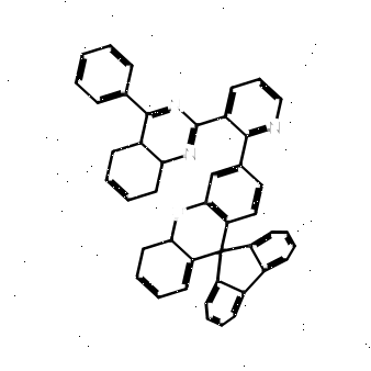 C1=CCC2Oc3cc(-c4ncccc4C4=NC5CC=CCC5C(c5ccccc5)=N4)ccc3C3(C2=C1)c1ccccc1-c1ccccc13